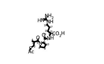 CC(=O)SCC(C)C(=O)N1CCC[C@H]1C(=O)N[C@@H](CCCNC(=N)N)C(=O)O